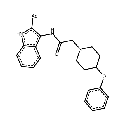 CC(=O)c1[nH]c2ccccc2c1NC(=O)CN1CCC(Oc2ccccc2)CC1